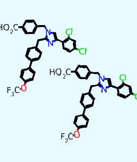 O=C(O)c1ccc(Cn2cc(-c3ccc(Cl)cc3Cl)nc2Cc2ccc(-c3ccc(OC(F)(F)F)cc3)cc2)cc1.O=C(O)c1ccc(Cn2cc(-c3ccc(Cl)cc3Cl)nc2Cc2ccc(-c3ccc(OC(F)(F)F)cc3)cc2)cc1